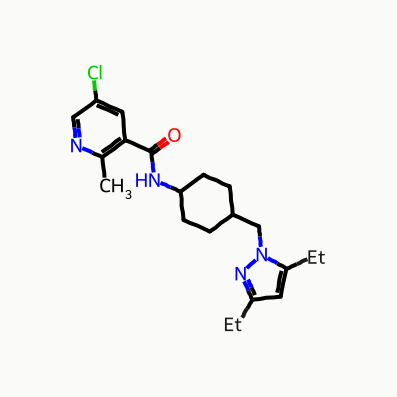 CCc1cc(CC)n(CC2CCC(NC(=O)c3cc(Cl)cnc3C)CC2)n1